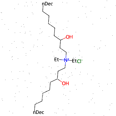 CCCCCCCCCCCCCCCC(O)CC[N+](CC)(CC)CCC(O)CCCCCCCCCCCCCCC.[Cl-]